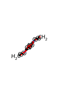 C=CC(=O)OCCOC(=O)/C=C/c1ccc(C(=O)O[C@H]2CO[C@H]3[C@@H]2OC[C@H]3OC(=O)c2ccc(/C=C/C(=O)OCCOC(=O)C=C)cc2)cc1